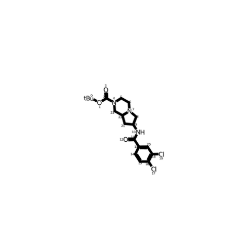 CC(C)(C)OC(=O)N1CCN2CC(NC(=O)c3ccc(Cl)c(Cl)c3)CC2C1